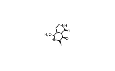 CC1NC(=O)C(=O)C2C(=O)NCCN12